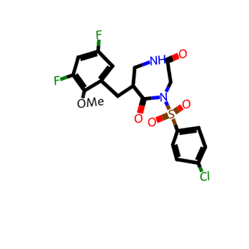 COc1c(F)cc(F)cc1CC1CNC(=O)CN(S(=O)(=O)c2ccc(Cl)cc2)C1=O